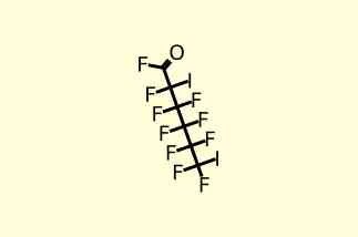 O=C(F)C(F)(I)C(F)(F)C(F)(F)C(F)(F)C(F)(F)I